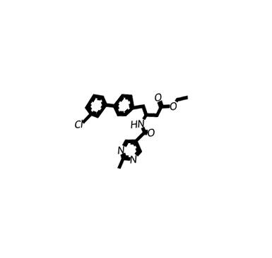 CCOC(=O)CC(Cc1ccc(-c2cccc(Cl)c2)cc1)NC(=O)c1cnc(C)nc1